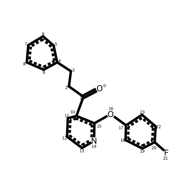 O=C(CCc1ccccc1)c1cccnc1Oc1ccc(F)cc1